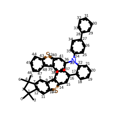 CC1(C)CC(C)(C)c2cc3c(cc21)sc1cc(-c2ccccc2N(c2ccc(-c4ccccc4)cc2)c2ccc4c(c2)sc2ccccc24)ccc13